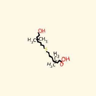 CC(C)(CCCO)CCCCCSCCCCCC(C)(C)CCC(=O)O